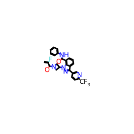 C=C(F)C(=O)N1CC(n2nc(-c3ccc(C(F)(F)F)nc3)c3cccc(C(=O)Nc4ccccc4)c32)C1